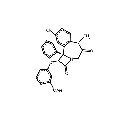 COc1cccc(O[C@@H]2C(=O)N3CC(=O)N(C)c4ccc(Cl)cc4[C@@]23c2ccccc2)c1